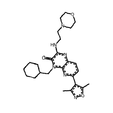 Cc1noc(C)c1-c1ccc2nc(NCCN3CCOCC3)c(=O)n(CC3CCCCC3)c2n1